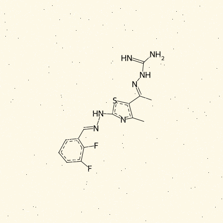 CC(=NNC(=N)N)c1sc(NN=Cc2cccc(F)c2F)nc1C